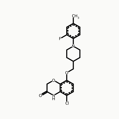 Cc1ccc(N2CCC(COc3ccc(Cl)c4c3OCC(=O)N4)CC2)c(F)c1